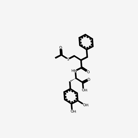 CC(=O)SCC(Cc1ccccc1)C(=O)N[C@@H](Cc1ccc(O)c(O)c1)C(=O)O